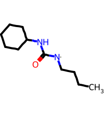 CCCC[N]C(=O)NC1CCCCC1